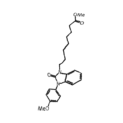 COC(=O)CCCCCCCn1c(=O)n(-c2ccc(OC)cc2)c2ccccc21